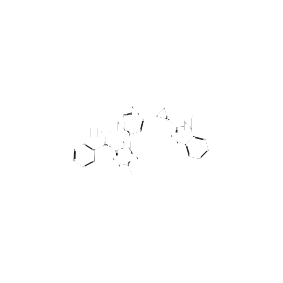 Cc1nc([C@@H]2C[C@H]2c2nc3ccccc3n2C)cc(-n2nc(C)nc2[C@@H](O)c2ccccc2)n1